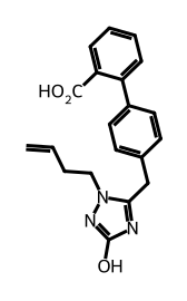 C=CCCn1nc(O)nc1Cc1ccc(-c2ccccc2C(=O)O)cc1